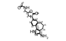 CC(=O)NCC1CN(c2ccc3c(c2)CCCc2c(N)n[nH]c2-3)C(=O)O1